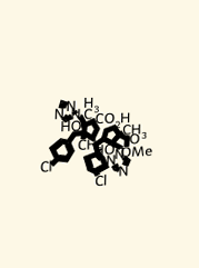 CC1(Cc2ccc(Cl)cc2)CCC(C)(C(=O)O)C1(O)Cn1cncn1.COC(=O)C1(C)CCC(Cc2ccc(Cl)cc2)C1(O)Cn1cncn1